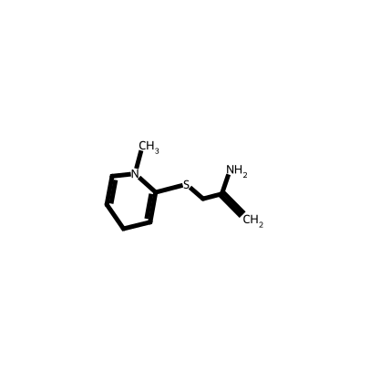 C=C(N)CSC1=CCC=CN1C